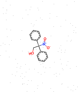 O=[N+]([O-])C(CO)(c1ccccc1)c1ccccc1